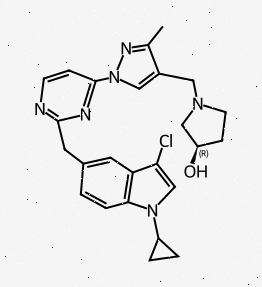 Cc1nn(-c2ccnc(Cc3ccc4c(c3)c(Cl)cn4C3CC3)n2)cc1CN1CC[C@@H](O)C1